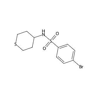 O=S(=O)(NC1CCSCC1)c1ccc(Br)cc1